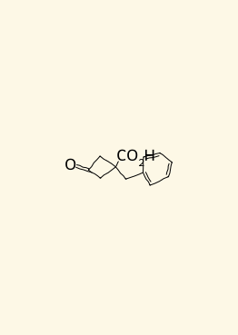 O=C1CC(Cc2ccccc2)(C(=O)O)C1